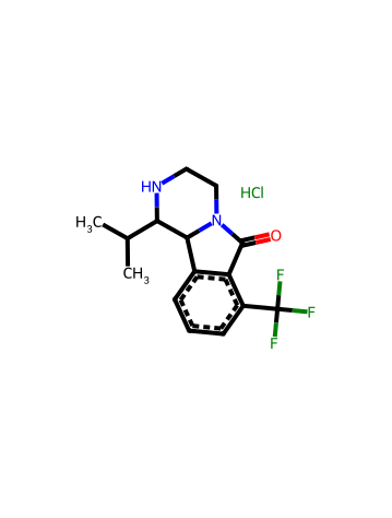 CC(C)C1NCCN2C(=O)c3c(cccc3C(F)(F)F)C12.Cl